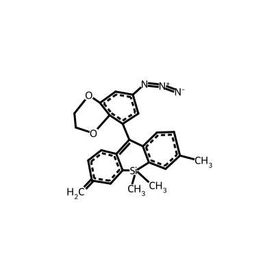 C=c1ccc2c(c1)[Si](C)(C)c1cc(C)ccc1C=2c1cc(N=[N+]=[N-])cc2c1OCCO2